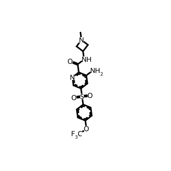 CN1CC(NC(=O)c2ncc(S(=O)(=O)c3ccc(OC(F)(F)F)cc3)cc2N)C1